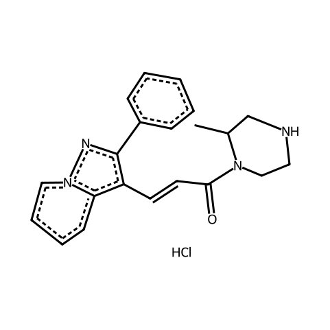 CC1CNCCN1C(=O)C=Cc1c(-c2ccccc2)nn2ccccc12.Cl